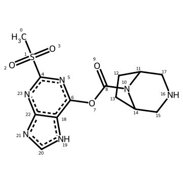 CS(=O)(=O)c1nc(OC(=O)N2C3CCC2CNC3)c2[nH]cnc2n1